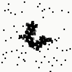 Cc1nnc(C2CC(=O)N(c3cnn4c3CN(C(=O)Nc3cc(F)c(F)c(F)c3)[C@@H](C)C4)C2)o1